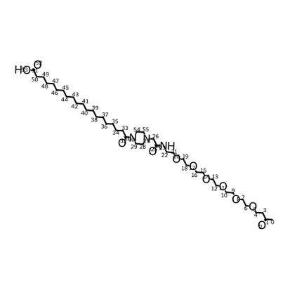 CC(=O)CCOCCOCCOCCOCCOCCOCCNC(=O)CN1CCN(C(=O)CCCCCCCCCCCCCCCCCCC(=O)O)CC1